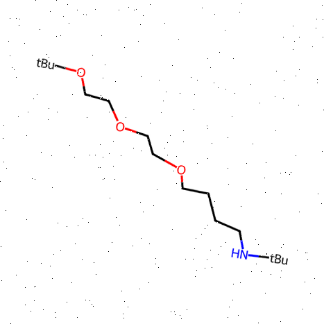 CC(C)(C)NCCCCOCCOCCOC(C)(C)C